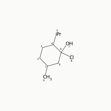 CC1CCC(C(C)C)C(O)(Cl)C1